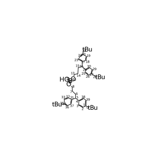 CC(C)(C)c1ccc(C(CCCOB(O)OCCCC(c2ccc(C(C)(C)C)cc2)c2ccc(C(C)(C)C)cc2)c2ccc(C(C)(C)C)cc2)cc1